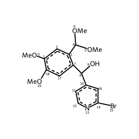 COc1cc(C(OC)OC)c(C(O)c2ccnc(Br)c2)cc1OC